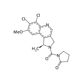 COc1cc2c3c(cnc2c(Cl)c1Cl)CN(C(=O)N1CCCC1=O)[C@H]3C